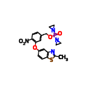 Cc1nc2cc(Oc3cc(COP(=O)(N4CC4)N4CC4)ccc3[N+](=O)[O-])ccc2s1